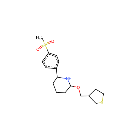 CS(=O)(=O)c1ccc(C2CCCC(OCC3CCSC3)N2)cc1